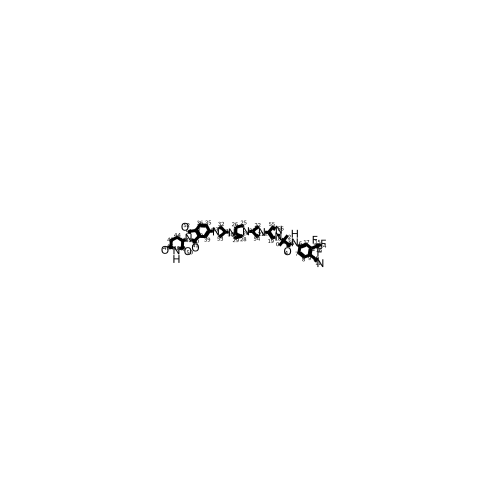 CC(C)(C(=O)Nc1ccc(C#N)c(C(F)(F)F)c1)n1cc(N2CC(N3CC4CC3CN4C3CN(c4ccc5c(c4)C(=O)N(C4CCC(=O)NC4=O)C5=O)C3)C2)cn1